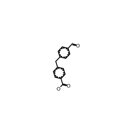 [O]C(=O)c1ccc(Cc2ccc([C]=O)cc2)cc1